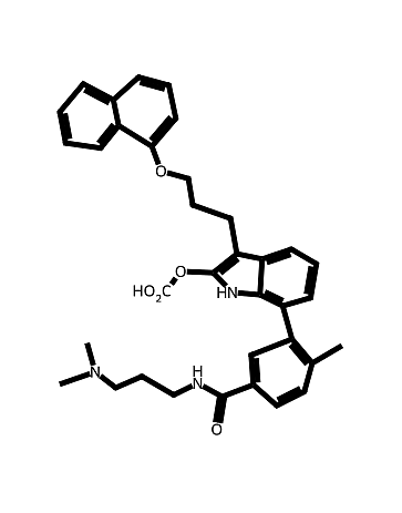 Cc1ccc(C(=O)NCCCN(C)C)cc1-c1cccc2c(CCCOc3cccc4ccccc34)c(OC(=O)O)[nH]c12